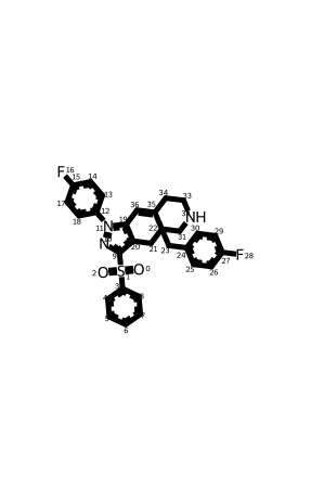 O=S(=O)(c1ccccc1)c1nn(-c2ccc(F)cc2)c2c1CC1(Cc3ccc(F)cc3)CNCCC1=C2